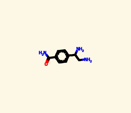 NCC(N)c1ccc(C(N)=O)cc1